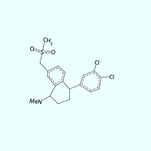 CNC1CCC(c2ccc(Cl)c(Cl)c2)c2ccc(CS(C)(=O)=O)cc21